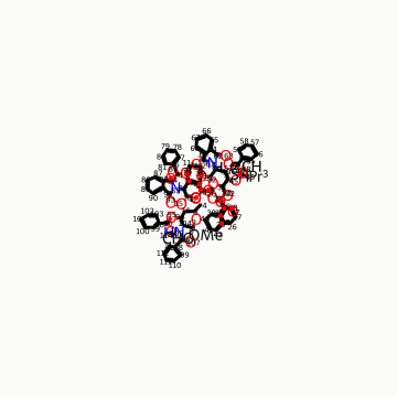 COC1OC(COC(=O)c2ccccc2)C(OC2OC(COC(=O)c3ccccc3)C(OC3OC(COC(=O)c4ccccc4)C(O[Si](C)(C)C(C)C)C(OC(=O)c4ccccc4)C3N3C(=O)c4ccccc4C3=O)C(OC(=O)c3ccccc3)C2N2C(=O)c3ccccc3C2=O)C(OC(=O)c2ccccc2)C1NC(=O)c1ccccc1C=O